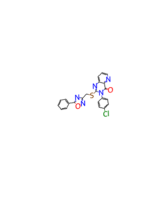 O=c1c2ncccc2nc(SCc2noc(-c3ccccc3)n2)n1-c1ccc(Cl)cc1